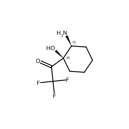 N[C@H]1CCCC[C@]1(O)C(=O)C(F)(F)F